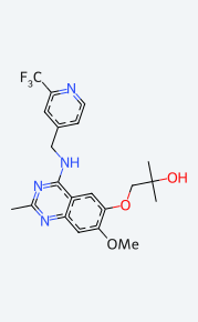 COc1cc2nc(C)nc(NCc3ccnc(C(F)(F)F)c3)c2cc1OCC(C)(C)O